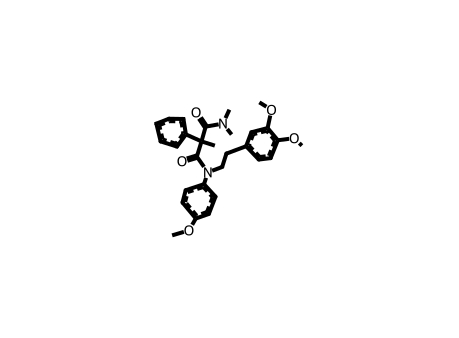 COc1ccc(N(CCc2ccc(OC)c(OC)c2)C(=O)C(C)(C(=O)N(C)C)c2ccccc2)cc1